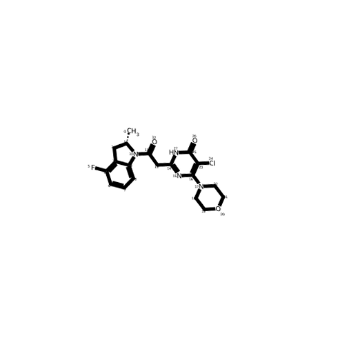 C[C@H]1Cc2c(F)cccc2N1C(=O)Cc1nc(N2CCOCC2)c(Cl)c(=O)[nH]1